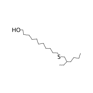 CCCCC(CC)CSCCCCCCCCCCCO